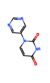 O=c1ccn(-c2cncnc2)c(=O)[nH]1